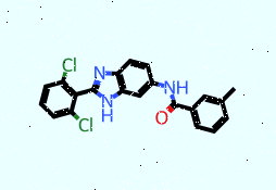 Cc1cccc(C(=O)Nc2ccc3nc(-c4c(Cl)cccc4Cl)[nH]c3c2)c1